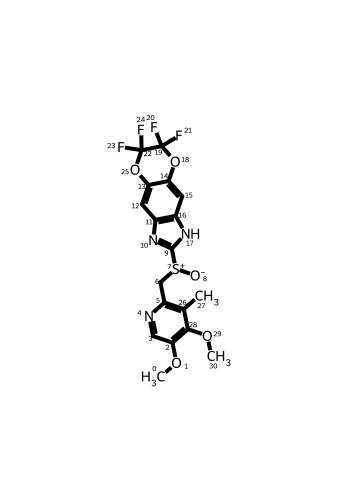 COc1cnc(C[S+]([O-])c2nc3cc4c(cc3[nH]2)OC(F)(F)C(F)(F)O4)c(C)c1OC